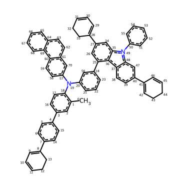 Cc1cc(-c2ccc(C3=CC=CCC3)cc2)ccc1N(c1cccc(-c2cc(C3=CC=CCC3)cc3c2c2ccc(C4=CCCC=C4)cc2n3-c2ccccc2)c1)c1ccc2c(ccc3ccccc32)c1